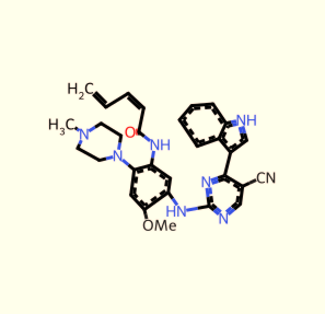 C=C/C=C\C(=O)Nc1cc(Nc2ncc(C#N)c(-c3c[nH]c4ccccc34)n2)c(OC)cc1N1CCN(C)CC1